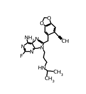 C#Cc1cc2c(cc1Cc1nc3c(N)nc(F)nc3n1CCCNC(C)C)OCO2